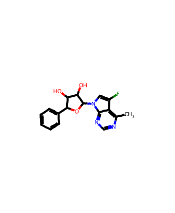 Cc1ncnc2c1c(F)cn2C1OC(c2ccccc2)C(O)C1O